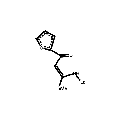 CCNC(=CC(=O)c1ccco1)SC